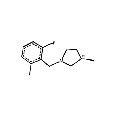 Cc1cccc(F)c1CN1CC[C@@H](C)C1